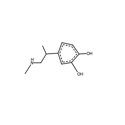 CNCC(C)c1ccc(O)c(O)c1